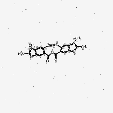 Cc1nc2cc(C(=O)OC(=O)c3cc4nc(C)n(C)c4cc3C(=O)O)c(C(=O)O)cc2n1C